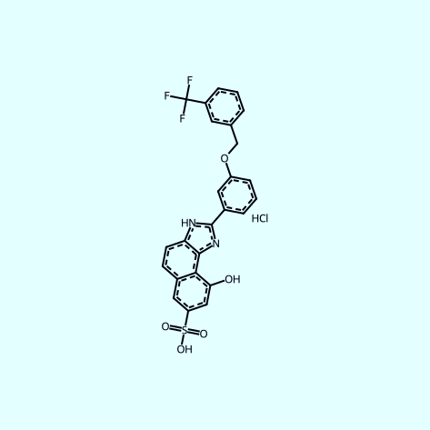 Cl.O=S(=O)(O)c1cc(O)c2c(ccc3[nH]c(-c4cccc(OCc5cccc(C(F)(F)F)c5)c4)nc32)c1